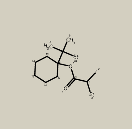 CCC(I)C(=O)OC1(C(C)(C)CC)CCCCC1